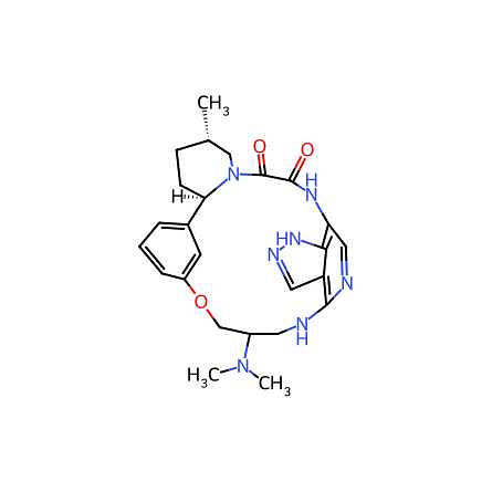 C[C@H]1CC[C@@H]2c3cccc(c3)OCC(N(C)C)CNc3ncc(c4[nH]ncc34)NC(=O)C(=O)N2C1